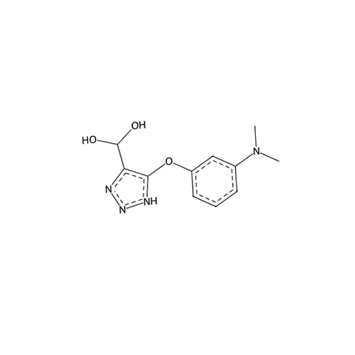 CN(C)c1cccc(Oc2[nH]nnc2C(O)O)c1